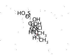 C[C@]12C[C@@H]3C[C@](C)(C1)C[C@@](Nc1nc(Cl)nc4c1ncn4[C@@H]1O[C@H](CCC(=O)CS(=O)(=O)O)[C@H](O)C1O)(C3)C2